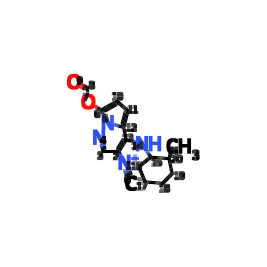 [C-]#[N+]c1cnn2c(OC=O)ccc2c1NC1CCCCC1C